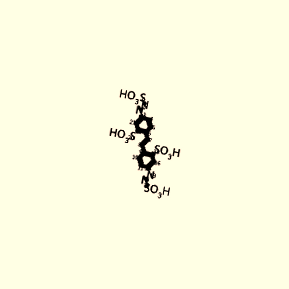 O=S(=O)(O)N=Nc1ccc(C=Cc2ccc(N=NS(=O)(=O)O)cc2S(=O)(=O)O)c(S(=O)(=O)O)c1